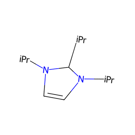 CC(C)C1N(C(C)C)C=CN1C(C)C